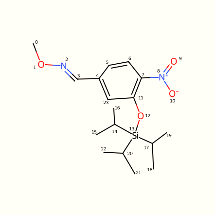 CON=Cc1ccc([N+](=O)[O-])c(O[Si](C(C)C)(C(C)C)C(C)C)c1